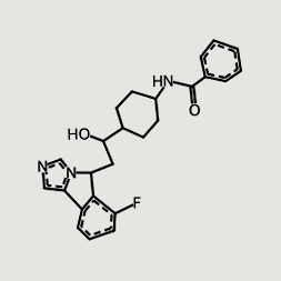 O=C(NC1CCC(C(O)CC2c3c(F)cccc3-c3cncn32)CC1)c1ccccc1